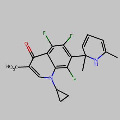 CC1=CC=CC(C)(c2c(F)c(F)c3c(=O)c(C(=O)O)cn(C4CC4)c3c2F)N1